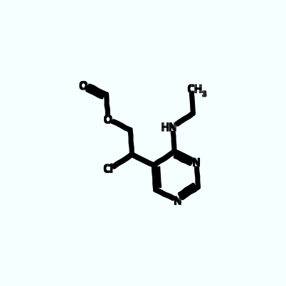 CCNc1ncncc1C(Cl)COC=O